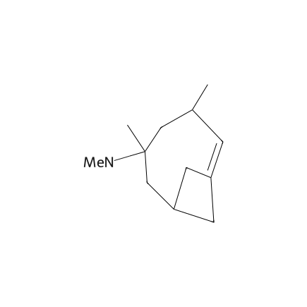 CNC1(C)CC(C)C=C2CC(C2)C1